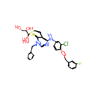 OCC(O)C(O)S1=C2C(=C(Nc3ccc(OCc4cccc(F)c4)c(Cl)c3)N=CN2Cc2ccccc2)C=C1